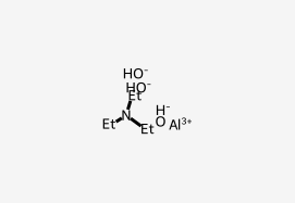 CCN(CC)CC.[Al+3].[OH-].[OH-].[OH-]